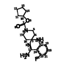 NC1=NC2(CCN(C(=O)OC3CCCC3)CC2)Nc2cccc(F)c21